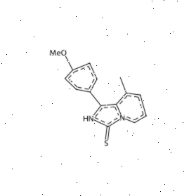 COc1ccc(-c2[nH]c(=S)n3cccc(C)c23)cc1